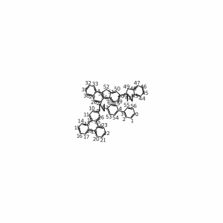 c1ccc(-c2ccc(N(c3ccc4c5ccccc5c5ccccc5c4c3)c3cc4ccccc4c4c3-c3ccc(C5=Nc6ccccc6C5)cc3C4)cc2)cc1